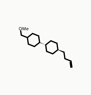 C=CCC[C@H]1CC[C@H](C2CCC(COC)CC2)CC1